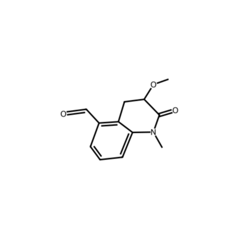 COC1Cc2c(C=O)cccc2N(C)C1=O